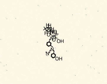 C[C@@H]1[C@@H](NC(=O)[C@@H]2[C@H]([C@H](C)O)[C@H](CO)ON2Cc2cccc(CN(CCN(C)C)Cc3cccc(O)c3)c2)C[C@H]2C[C@@H]1C2(C)C